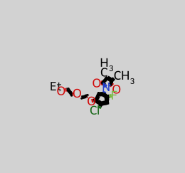 CCOCCOCCOc1cc(N2C(=O)C(C)=C(C)C2=O)c(F)cc1Cl